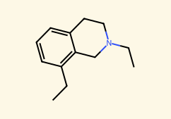 CCc1cccc2c1CN(CC)CC2